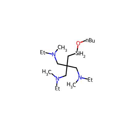 CCCCO[SiH2]CC(CN(C)CC)(CN(C)CC)CN(C)CC